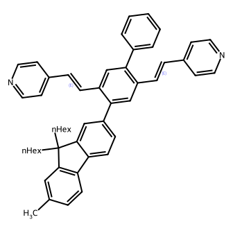 CCCCCCC1(CCCCCC)c2cc(C)ccc2-c2ccc(-c3cc(/C=C/c4ccncc4)c(-c4ccccc4)cc3/C=C/c3ccncc3)cc21